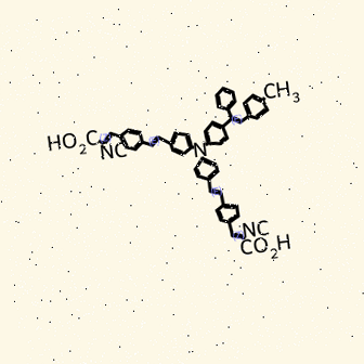 [C-]#[N+]/C(=C\c1ccc(/C=C/c2ccc(N(c3ccc(/C=C/c4ccc(/C=C(\[N+]#[C-])C(=O)O)cc4)cc3)c3ccc(/C(=C/c4ccc(C)cc4)c4ccccc4)cc3)cc2)cc1)C(=O)O